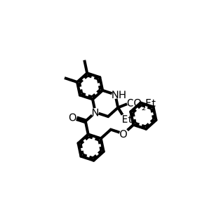 CCOC(=O)C1(CC)CN(C(=O)c2ccccc2COc2ccccc2)c2cc(C)c(C)cc2N1